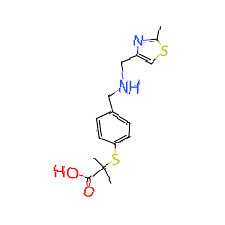 Cc1nc(CNCc2ccc(SC(C)(C)C(=O)O)cc2)cs1